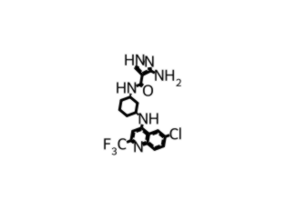 Nc1n[nH]cc1C(=O)N[C@@H]1CCC[C@H](Nc2cc(C(F)(F)F)nc3ccc(Cl)cc23)C1